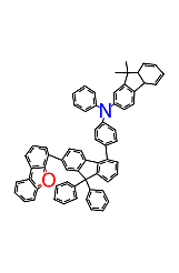 CC1(C)c2cc(N(c3ccccc3)c3ccc(-c4cccc5c4-c4ccc(-c6cccc7c6oc6ccccc67)cc4C5(c4ccccc4)c4ccccc4)cc3)ccc2C2C=CC=CC21